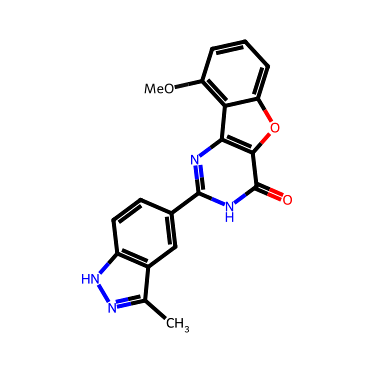 COc1cccc2oc3c(=O)[nH]c(-c4ccc5[nH]nc(C)c5c4)nc3c12